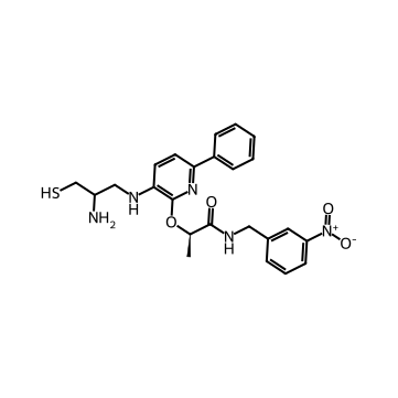 C[C@@H](Oc1nc(-c2ccccc2)ccc1NCC(N)CS)C(=O)NCc1cccc([N+](=O)[O-])c1